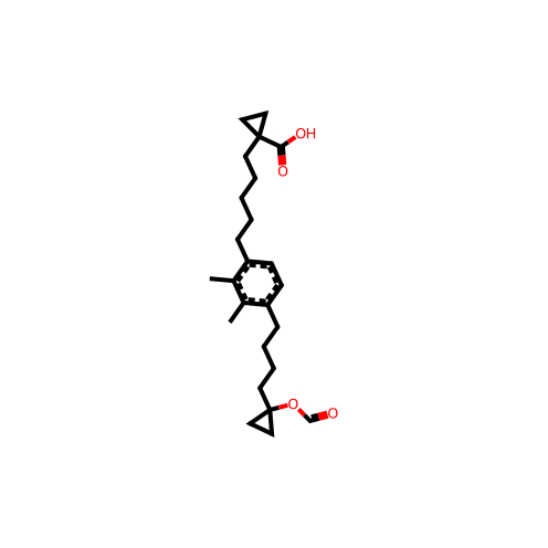 Cc1c(CCCCCC2(C(=O)O)CC2)ccc(CCCCC2(OC=O)CC2)c1C